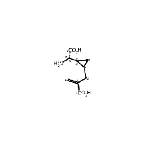 C=C(CC1C[C@@H]1[C@H](N)C(=O)O)C(=O)O